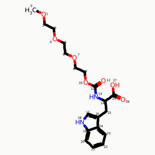 COCCOCCOCCOC(=O)NC(Cc1c[nH]c2ccccc12)C(=O)O